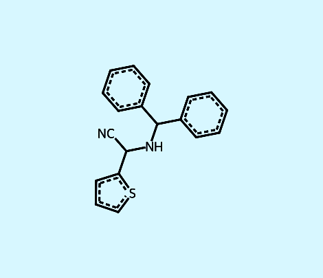 N#CC(NC(c1ccccc1)c1ccccc1)c1cccs1